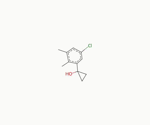 Cc1cc(Cl)cc(C2(O)CC2)c1C